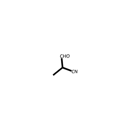 CC(C#N)C=O